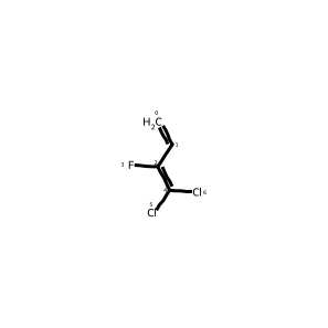 C=CC(F)=C(Cl)Cl